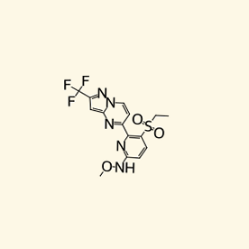 CCS(=O)(=O)c1ccc(NOC)nc1-c1ccn2nc(C(F)(F)F)cc2n1